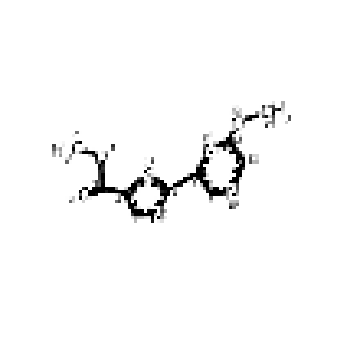 COC(=O)c1cnc(-c2cncc(OC)n2)s1